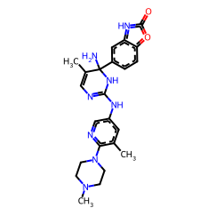 CC1=CN=C(Nc2cnc(N3CCN(C)CC3)c(C)c2)NC1(N)c1ccc2oc(=O)[nH]c2c1